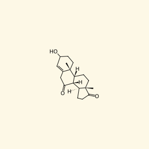 C[C@]12CCC(O)C=C1CC(=O)[C@@H]1[C@H]2CC[C@]2(C)C(=O)CC[C@@H]12